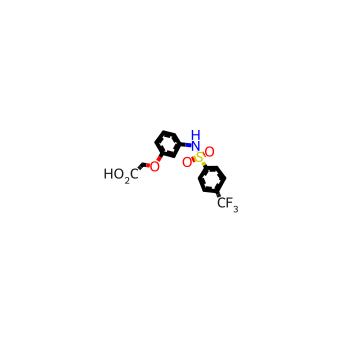 O=C(O)COc1cccc(NS(=O)(=O)c2ccc(C(F)(F)F)cc2)c1